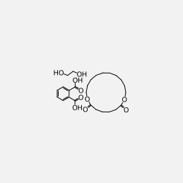 O=C(O)c1ccccc1C(=O)O.O=C1CCCCC(=O)OCCCCCCCCCCO1.OCCO